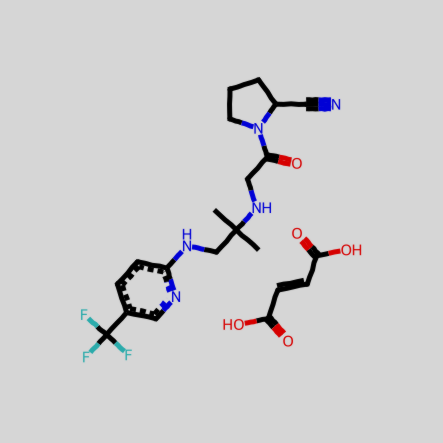 CC(C)(CNc1ccc(C(F)(F)F)cn1)NCC(=O)N1CCCC1C#N.O=C(O)/C=C/C(=O)O